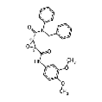 COc1ccc(NC(=O)[C@H]2O[C@@H]2C(=O)N(Cc2ccccc2)c2ccccc2)cc1OC